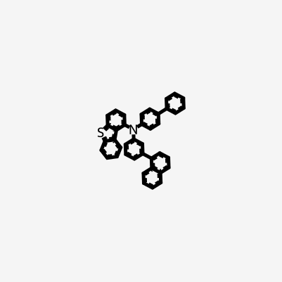 c1ccc(-c2ccc(N(c3cccc(-c4cccc5ccccc45)c3)c3cccc4sc5ccccc5c34)cc2)cc1